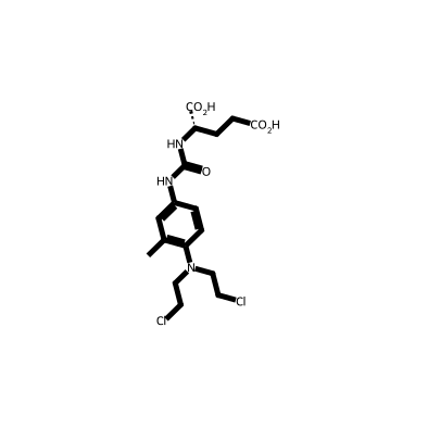 Cc1cc(NC(=O)N[C@@H](CCC(=O)O)C(=O)O)ccc1N(CCCl)CCCl